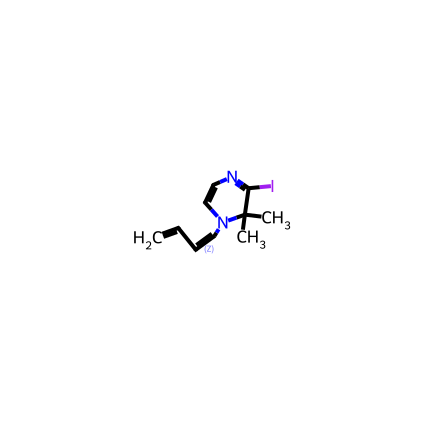 C=C/C=C\N1C=CN=C(I)C1(C)C